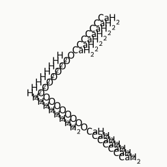 O.O.O.O.O.O.O.O.O.O.O.O.O.O.O.O.[CaH2].[CaH2].[CaH2].[CaH2].[CaH2].[CaH2].[CaH2].[CaH2].[CaH2].[CaH2].[CaH2].[CaH2].[CaH2].[CaH2]